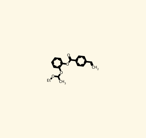 C=Cc1ccc(C(=O)Oc2ccccc2OC(C)OCC)cc1